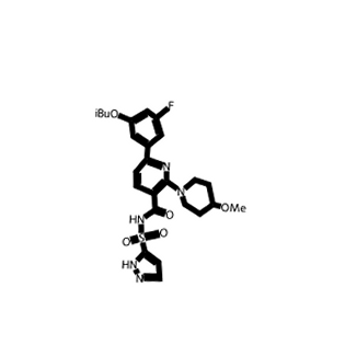 COC1CCN(c2nc(-c3cc(F)cc(OCC(C)C)c3)ccc2C(=O)NS(=O)(=O)c2ccn[nH]2)CC1